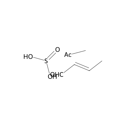 CC(C)=O.CC=CC=O.O=S(O)O